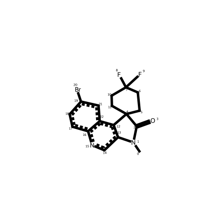 CN1C(=O)C2(CCC(F)(F)CC2)c2c1cnc1ccc(Br)cc21